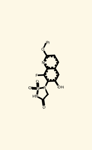 CC(C)Oc1ccc2cc(O)c(N3CC(=O)NS3(=O)=O)c(F)c2n1